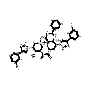 CN(C(=O)[C@H]1C[C@@H](n2cc(-c3cccc(F)c3)nn2)[C@H]2OC(c3ccccc3)OC[C@H]2O1)[C@@H]1CN(C(=O)O)C[C@H](n2cc(-c3cccc(F)c3)nn2)[C@H]1O